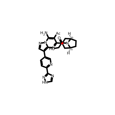 CC(=O)c1c(C2C[C@H]3CC[C@@H](C2)N3C(=O)CO)nc2c(-c3ccc(-c4nc[nH]n4)nc3)cnn2c1N